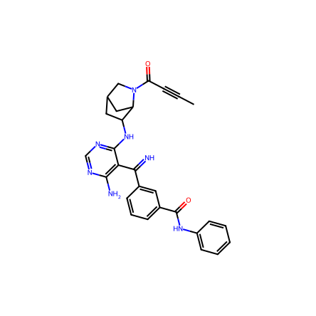 CC#CC(=O)N1CC2CC(Nc3ncnc(N)c3C(=N)c3cccc(C(=O)Nc4ccccc4)c3)C1C2